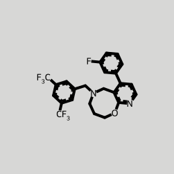 Fc1cccc(-c2ccnc3c2CN(Cc2cc(C(F)(F)F)cc(C(F)(F)F)c2)CCCO3)c1